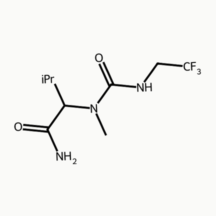 CC(C)C(C(N)=O)N(C)C(=O)NCC(F)(F)F